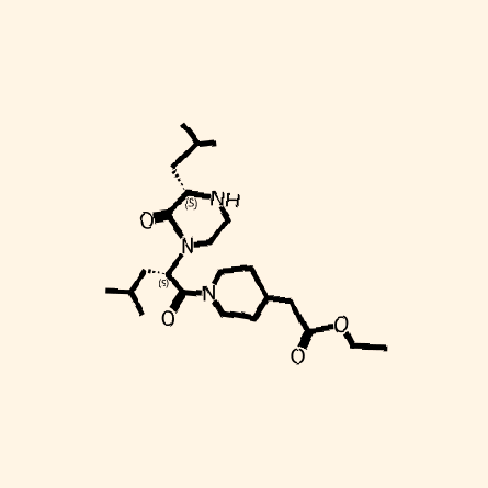 CCOC(=O)CC1CCN(C(=O)[C@H](CC(C)C)N2CCN[C@@H](CC(C)C)C2=O)CC1